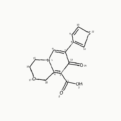 O=C(O)c1c2n(cc(-c3ccsc3)c1=O)CCOC2